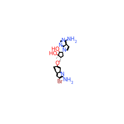 C[C@@]1(O)[C@@H](COc2ccc3cc(Br)c(N)nc3c2)C[C@@H](n2ccc3c(N)ncnc32)[C@@H]1O